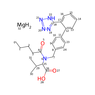 CCCCC(=O)N(Cc1ccc(-c2ccccc2-c2nnn[nH]2)cc1)C(C(=O)O)C(C)C.[MgH2]